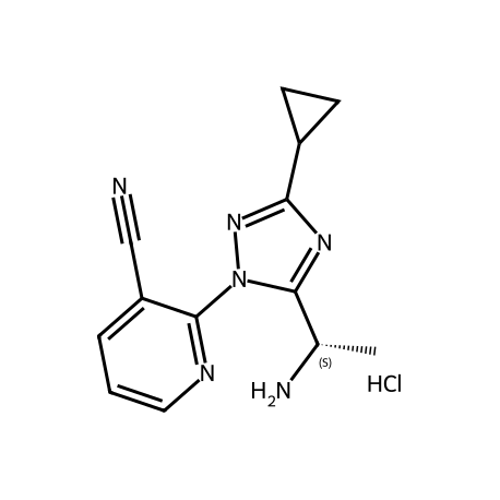 C[C@H](N)c1nc(C2CC2)nn1-c1ncccc1C#N.Cl